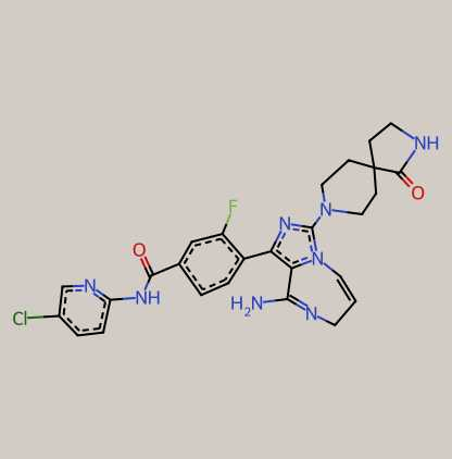 NC1=NCC=Cn2c(N3CCC4(CCNC4=O)CC3)nc(-c3ccc(C(=O)Nc4ccc(Cl)cn4)cc3F)c21